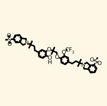 CC(C)(COc1ccc(CCC(C)(C)N2Cc3cccc(S(C)(=O)=O)c3C2)cc1OC(F)(F)F)Oc1cc(CCC(C)(C)N2Cc3ccc(S(C)(=O)=O)cc3C2)ccc1O